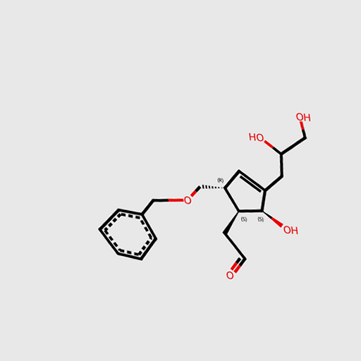 O=CC[C@@H]1[C@H](O)C(CC(O)CO)=C[C@H]1COCc1ccccc1